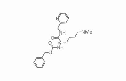 CNCCCC[C@H](NC(=O)OCc1ccccc1)C(=O)NCc1ccccn1